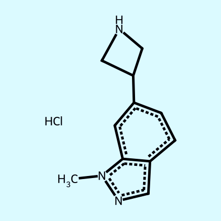 Cl.Cn1ncc2ccc(C3CNC3)cc21